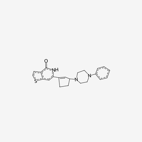 O=c1[nH]c(C2=CC(N3CCN(c4ccccc4)CC3)CC2)cc2sccc12